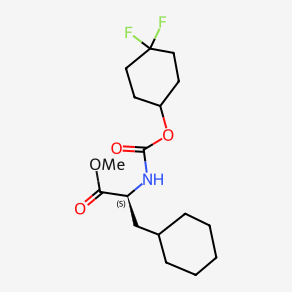 COC(=O)[C@H](CC1CCCCC1)NC(=O)OC1CCC(F)(F)CC1